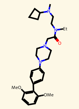 CCN(CCN(C)C1CCC1)C(=O)CN1CCN(c2ccc(-c3c(OC)cccc3OC)cc2)CC1